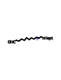 CCCCCCCC/C=C/CCCCCCCCC=O